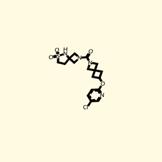 O=C(N1CC2(CC(Oc3ccc(Cl)cn3)C2)C1)N1CC2(CCS(=O)(=O)N2)C1